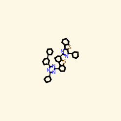 c1ccc(-c2cccc(-c3nc(-c4ccccc4)nc(-c4cccc5sc6c(-c7nc(-c8ccccc8)c8sc9ccccc9c8n7)cccc6c45)n3)c2)cc1